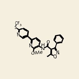 COc1nc(-c2ccc(SC(F)(F)F)nc2)ccc1NC(=O)c1c(-c2ccccc2)noc1C